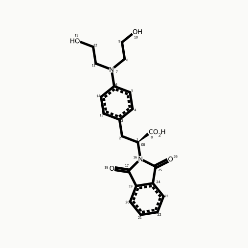 O=C(O)[C@H](Cc1ccc(N(CCO)CCO)cc1)N1C(=O)c2ccccc2C1=O